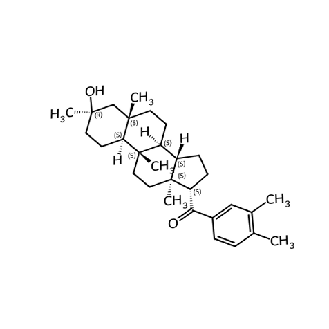 Cc1ccc(C(=O)[C@H]2CC[C@H]3[C@@H]4CC[C@@]5(C)C[C@](C)(O)CC[C@@H]5[C@@]4(C)CC[C@]23C)cc1C